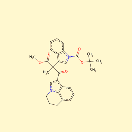 COC(=O)C(C)(C(=O)c1cn2c3c(cccc13)CCC2)c1cn(C(=O)OC(C)(C)C)c2ccccc12